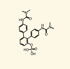 CN(C)C(=O)Nc1ccc(-c2cccc(OP(=O)(O)O)c2-c2ccc(NC(=O)N(C)C)cc2)cc1